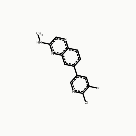 CNc1cnc2ccc(-c3cnc(Cl)c(F)c3)cc2n1